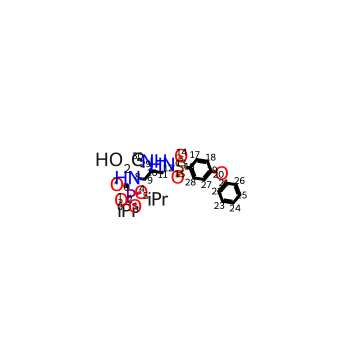 CC(C)OP(=O)(OC(C)C)C(=O)NCC(CNS(=O)(=O)c1ccc(Oc2ccccc2)cc1)NC(=O)O